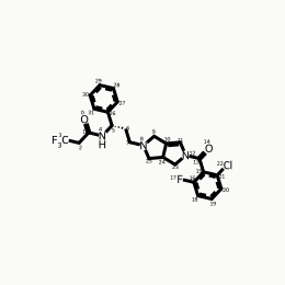 O=C(CC(F)(F)F)N[C@@H](CCN1CC2=CN(C(=O)c3c(F)cccc3Cl)CC2C1)c1ccccc1